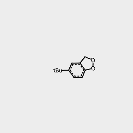 CC(C)(C)c1ccc2c(c1)COO2